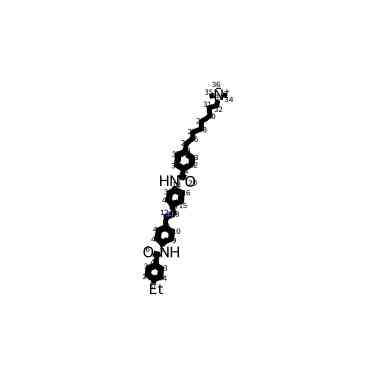 CCc1ccc(C(=O)Nc2ccc(/C=C/c3ccc(NC(=O)c4ccc(CCCCCCCC[N+](C)(C)C)cc4)cc3)cc2)cc1